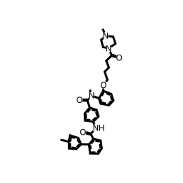 Cc1ccc(-c2ccccc2C(=O)Nc2ccc(C(=O)N(C)c3ccccc3OCCCCC(=O)N3CCN(C)CC3)cc2)cc1